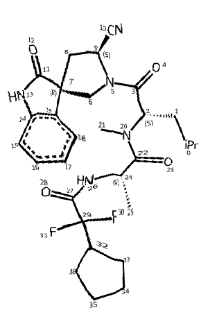 CC(C)C[C@@H](C(=O)N1C[C@]2(C[C@H]1C#N)C(=O)Nc1ccccc12)N(C)C(=O)[C@H](C)NC(=O)C(F)(F)C1CCCC1